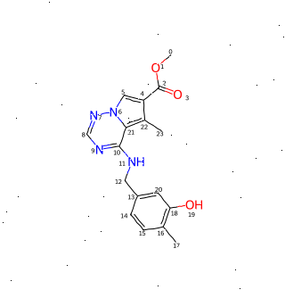 COC(=O)c1cn2ncnc(NCc3ccc(C)c(O)c3)c2c1C